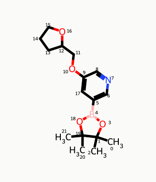 CC1(C)OB(c2cncc(OCC3CCCO3)c2)OC1(C)C